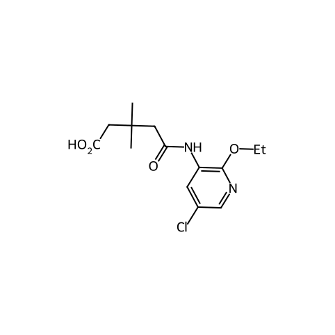 CCOc1ncc(Cl)cc1NC(=O)CC(C)(C)CC(=O)O